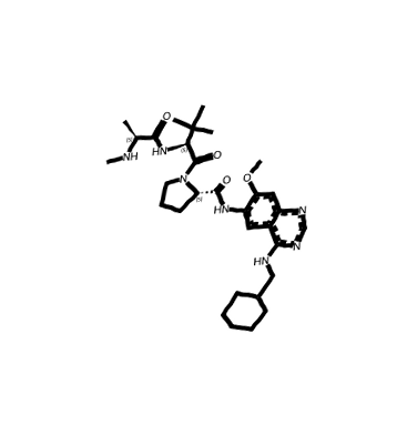 CN[C@@H](C)C(=O)N[C@H](C(=O)N1CCC[C@H]1C(=O)Nc1cc2c(NCC3CCCCC3)ncnc2cc1OC)C(C)(C)C